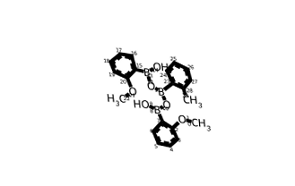 COc1ccccc1B(O)OB(OB(O)c1ccccc1OC)c1ccccc1C